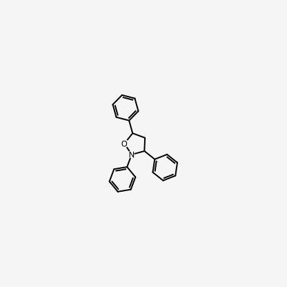 c1ccc(C2CC(c3ccccc3)N(c3ccccc3)O2)cc1